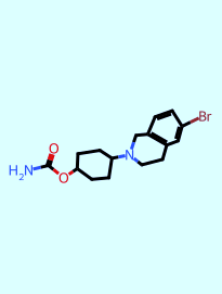 NC(=O)OC1CCC(N2CCc3cc(Br)ccc3C2)CC1